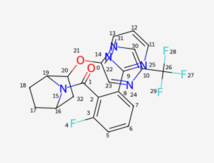 O=C(c1c(F)cccc1-c1ncccn1)N1C2CCC1C(Oc1cnc(C(F)(F)F)cn1)C2